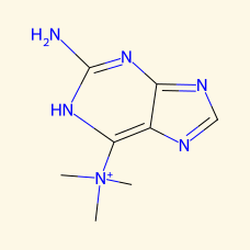 C[N+](C)(C)c1[nH]c(N)nc2ncnc1-2